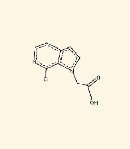 O=C(O)Cn1ccc2ccnc(Cl)c21